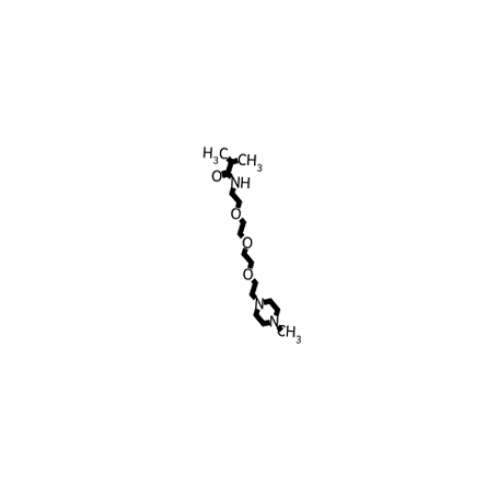 CC(C)C(=O)NCCOCCOCCOCCN1CCN(C)CC1